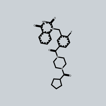 O=C(c1ccc(F)c(Cn2c(=O)[nH]c(=O)c3ccccc32)c1)N1CCN(C(=O)C2CCCC2)CC1